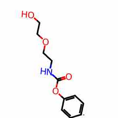 O=C(NCCOCCO)Oc1cc[c]cc1